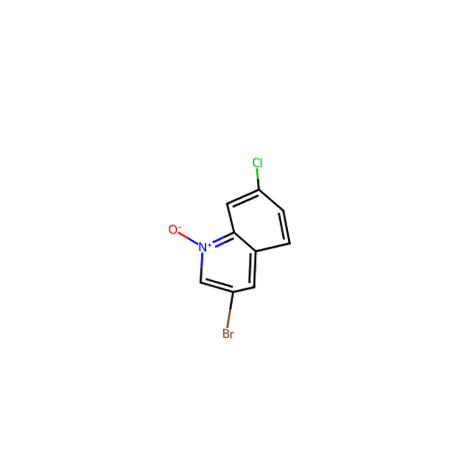 [O-][n+]1cc(Br)cc2ccc(Cl)cc21